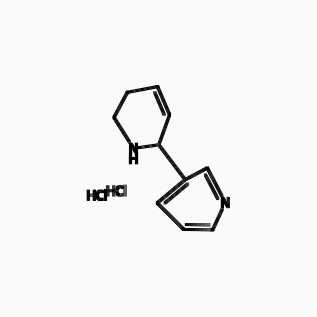 C1=CC(c2cccnc2)NCC1.Cl.Cl